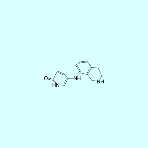 O=c1ccc(Nc2cccc3c2CNCC3)c[nH]1